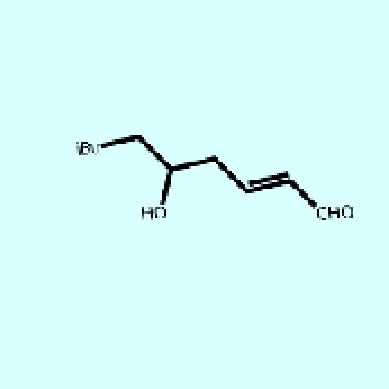 CCC(C)CC(O)CC=CC=O